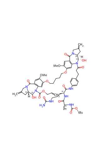 C=CCOC(=O)N1c2cc(OCCCCCOc3cc4c(cc3OC)C(=O)N3CC(=C)C[C@H]3[C@H](O)N4C(=O)CCc3ccc(NC(=O)[C@H](CCCNC(N)=O)NC(=O)[C@@H](NC(=O)OC(C)(C)C)C(C)C)cc3)c(OC)cc2C(=O)N2CC(=C)C[C@H]2[C@@H]1O